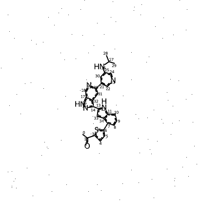 CC(=O)c1ccc(-c2cccc3[nH]c(-c4n[nH]c5cnc(-c6cncc(NC(C)C)c6)cc45)cc23)s1